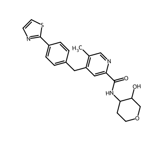 Cc1cnc(C(=O)NC2CCOCC2O)cc1Cc1ccc(-c2nccs2)cc1